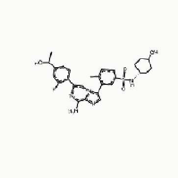 Cc1ccc(S(=O)(=O)N[C@H]2CC[C@H](O)CC2)cc1-c1cnc2c(N)nc(-c3ccc(C(C)O)cc3F)cn12